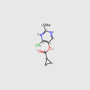 CSc1ncc(OC(=O)C2CC2)c(Cl)n1